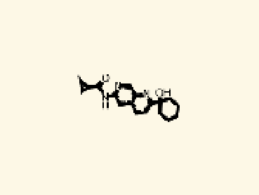 O=C(Nc1cc2ccc(C3(O)CCCCC3)nc2cn1)C1CC1